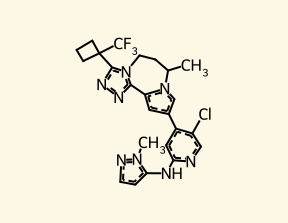 CC1CCn2c(nnc2C2(C(F)(F)F)CCC2)-c2cc(-c3cc(Nc4ccnn4C)ncc3Cl)cn21